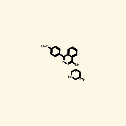 COc1ccc(-c2nnc(N[C@H]3CNC[C@H](F)C3)c3ccccc23)cc1